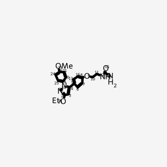 CCOc1cc(-c2ccc(OCCNC(N)=O)cc2)n(-c2ccc(OC)cc2)n1